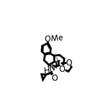 COc1ccc2c(c1)[C@]13CCN(C(=O)C4CC4)[C@H](C2)[C@@H]1CC1(CC3)OCCO1